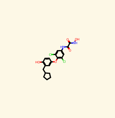 O=C(NO)C(=O)Nc1cc(Cl)c(Oc2ccc(O)c(CC3CCCC3)c2)c(Cl)c1